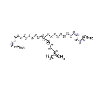 CCCCC/C=C\C/C=C\CCCCCCCCC(C=NOCCCN(C)C)CCCCCCCC/C=C\C/C=C\CCCCC